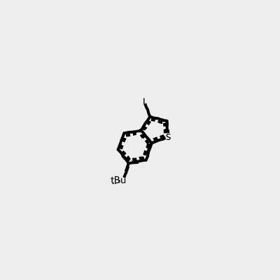 CC(C)(C)c1ccc2c(I)csc2c1